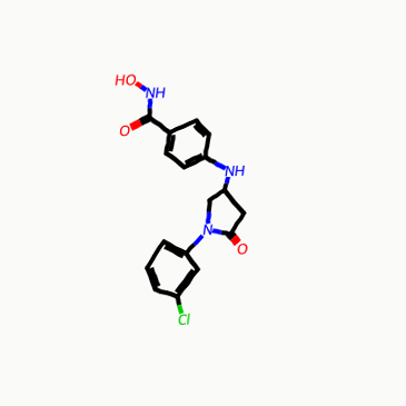 O=C(NO)c1ccc(NC2CC(=O)N(c3cccc(Cl)c3)C2)cc1